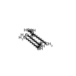 CCCCCCCCCCCCCC(=O)O.CCCCCCCCCCCCCC(=O)O.CCCCCCCCCCCCCC(=O)OCC(O)CO